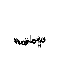 CC1CC(CN2CCN(C)CC2)=CC=C1S(=O)(=O)NCc1ccc(C(=O)Nc2cccnc2)cc1